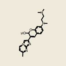 Cc1ccn2cc(C3=Cc4ccc(N(C)CCN(C)C)cc4OC3O)nc2n1